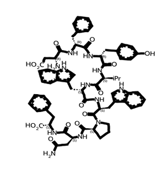 CC(C)[C@H](NC(=O)[C@@H](Cc1ccc(O)cc1)NC(=O)[C@@H](Cc1ccccc1)NC(=O)[C@H](N)CC(=O)O)C(=O)N[C@@H](Cc1c[nH]c2ccccc12)C(=O)N[C@@H](Cc1c[nH]c2ccccc12)C(=O)N1CCC[C@H]1C(=O)N[C@@H](CC(N)=O)C(=O)N[C@@H](Cc1ccccc1)C(=O)O